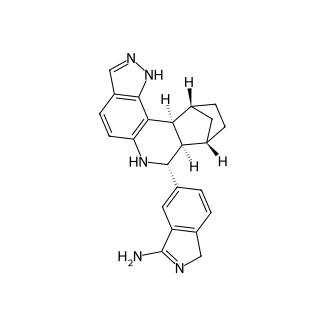 NC1=NCc2ccc([C@@H]3Nc4ccc5cn[nH]c5c4[C@H]4[C@@H]5CC[C@@H](C5)[C@H]43)cc21